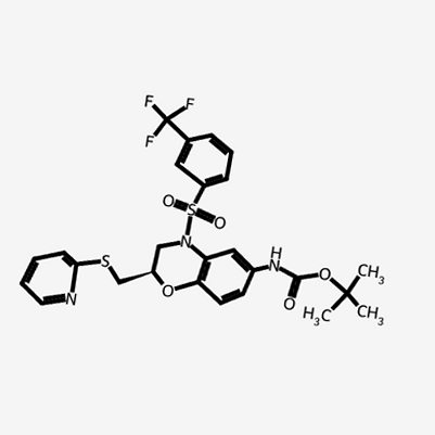 CC(C)(C)OC(=O)Nc1ccc2c(c1)N(S(=O)(=O)c1cccc(C(F)(F)F)c1)C[C@H](CSc1ccccn1)O2